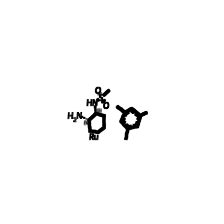 CS(=O)(=O)N[C@H]1CCCC[C@@H]1N.Cc1cc(C)cc(C)c1.[Ru]